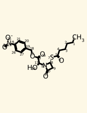 CCCCCC(=O)S[C@@H]1CC(=O)N1C(O)C(=O)OCc1ccc([N+](=O)[O-])cc1